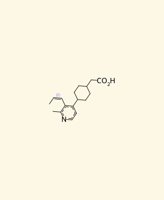 C/C=C\c1c(C2CCC(CC(=O)O)CC2)ccnc1C